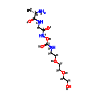 CC(C)[C@H](N)C(=O)NCC(=O)NOC(=O)NCCOCCOCCO